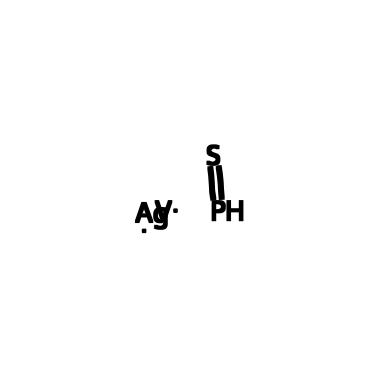 P=S.[Ag].[V]